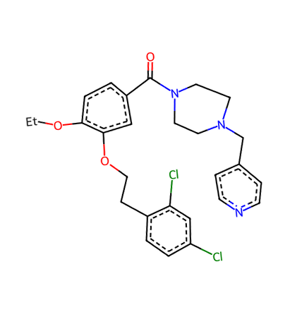 CCOc1ccc(C(=O)N2CCN(Cc3ccncc3)CC2)cc1OCCc1ccc(Cl)cc1Cl